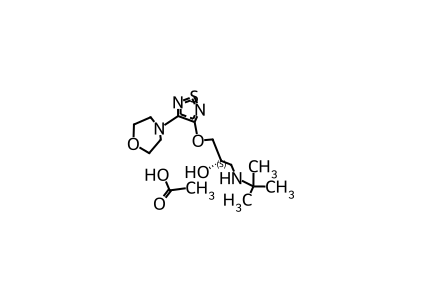 CC(=O)O.CC(C)(C)NC[C@H](O)COc1nsnc1N1CCOCC1